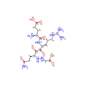 NC(=O)CC[C@H](NNCC(=O)S)C(=O)C(=O)[C@H](CCCNC(N)N)NC(=O)[C@@H](N)CCC(=O)O